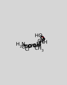 C[C@@H]1CN(c2ccc(OCC(N)=O)c(Cl)c2)CCN1c1cccc(C(=O)NC2C3CC4CC2CC(O)(C4)C3)n1